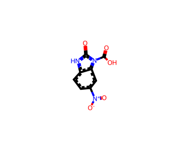 O=C(O)n1c(=O)[nH]c2ccc([N+](=O)[O-])cc21